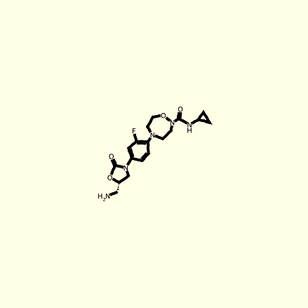 NC[C@H]1CN(c2ccc(N3CCON(C(=O)NC4CC4)CC3)c(F)c2)C(=O)O1